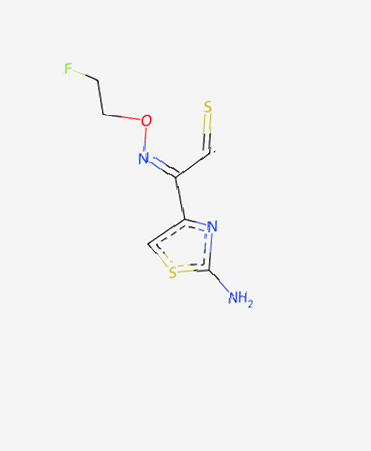 Nc1nc(C([C]=S)=NOCCF)cs1